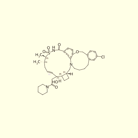 C[C@@H]1[C@@H](C)C/C=C/[C@](O)(CC(=O)N2CCCCC2)[C@@H]2CC[C@H]2CN2CCCCc3cc(Cl)ccc3COc3ccc(cc32)C(=O)NS1(=O)=O